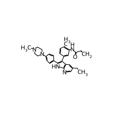 C=CC(=O)Nc1cc(-c2c(-c3ccc(N4CCN(C)CC4)cc3)[nH]c3ncc(CC)cc23)ccc1C